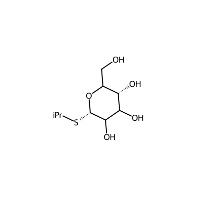 CC(C)S[C@@H]1OC(CO)[C@H](O)C(O)C1O